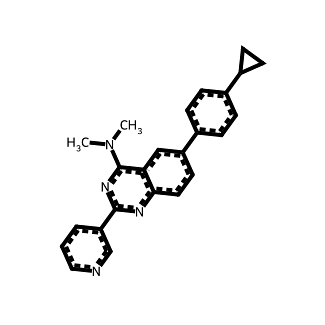 CN(C)c1nc(-c2cccnc2)nc2ccc(-c3ccc(C4CC4)cc3)cc12